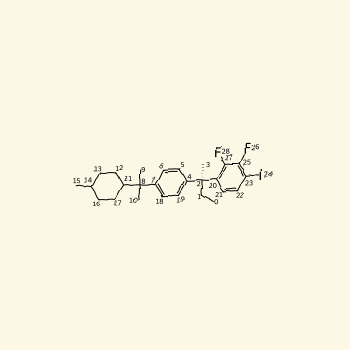 CC[C@@](C)(c1ccc(C(C)(C)C2CCC(C)CC2)cc1)c1ccc(I)c(F)c1F